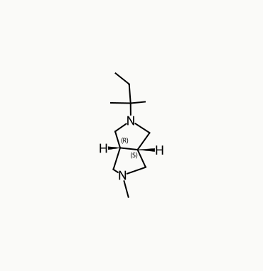 CCC(C)(C)N1C[C@H]2CN(C)C[C@H]2C1